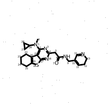 CN(c1nc(CC(=O)NCC2=CCCN=C2)nc2sc3c(c12)CCCC3)C1CC1